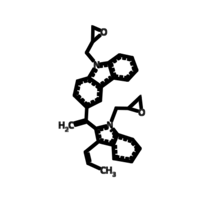 C=C(c1ccc2c(c1)c1ccccc1n2CC1CO1)c1c(/C=C\C)c2ccccc2n1CC1CO1